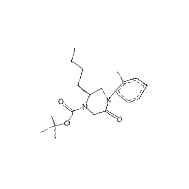 CCCCC1CN(c2ccccc2C)C(=O)CN1C(=O)OC(C)(C)C